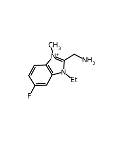 CCn1c(CN)[n+](C)c2ccc(F)cc21